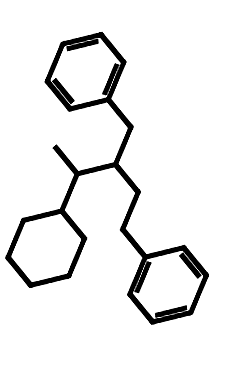 CC([C](CCc1ccccc1)Cc1ccccc1)C1CCCCC1